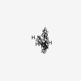 Cc1ccc(OC(=O)N2CCC(Nc3nc(NC4CCC(N)CC4)nc4c3ncn4C3CCCC3)CC2)cc1